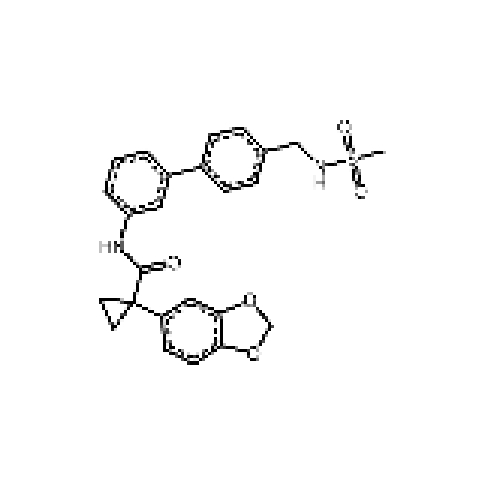 CS(=O)(=O)NCc1ccc(-c2cccc(NC(=O)C3(c4ccc5c(c4)OCO5)CC3)c2)cc1